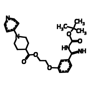 CC(C)(C)OC(=O)NC(=N)c1cccc(OCCOC(=O)C2CCN(c3ccncc3)CC2)c1